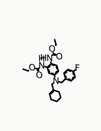 CCOC(=O)Nc1ccc(N(CC2=CCCCC2)Cc2ccc(F)cc2)cc1NC(=O)OCC